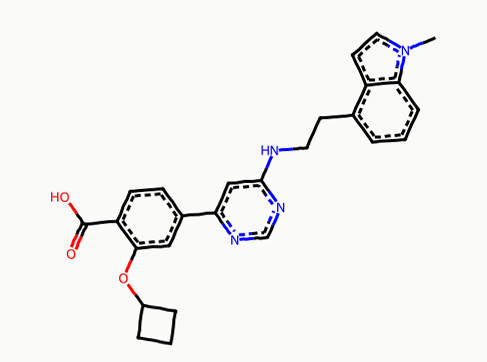 Cn1ccc2c(CCNc3cc(-c4ccc(C(=O)O)c(OC5CCC5)c4)ncn3)cccc21